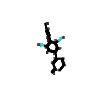 C=C/C=C(\C=C/C)c1cc(F)c(C#CC)c(F)c1